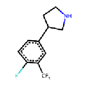 Fc1ccc(C2CCNC2)cc1C(F)(F)F